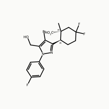 C[C@@]1(C(=O)O)CC(F)(F)CC[C@H]1c1nn(-c2ccc(F)cc2)c(CO)c1Br